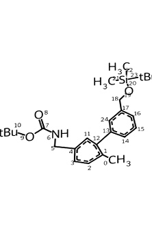 Cc1ccc(CNC(=O)OC(C)(C)C)cc1-c1cccc(CO[Si](C)(C)C(C)(C)C)c1